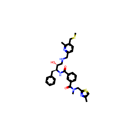 CSCc1ccc(CNC[C@@H](O)[C@H](Cc2ccccc2)NC(=O)c2cccc(C(=O)N(C)Cc3nc(C)cs3)c2)nc1C